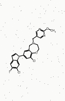 COc1ncc(CN2CCOc3c(Cl)cc(-n4ccc5cc(F)c(Cl)cc54)cc3C2)cn1